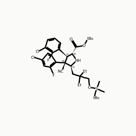 CCC(CC)(CO[Si](C)(C)C(C)(C)C)C[C@@H]1N[C@@H](C(=O)OC(C)(C)C)[C@H](c2cccc(Cl)c2F)[C@@]1(C#N)c1ccc(Cl)cc1F